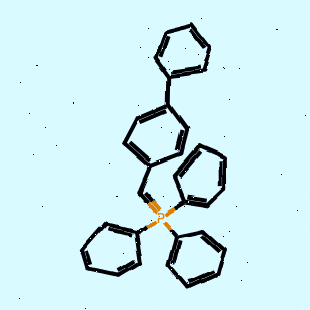 C(c1ccc(-c2ccccc2)cc1)=P(c1ccccc1)(c1ccccc1)c1ccccc1